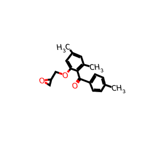 Cc1ccc(C(=O)c2c(C)cc(C)cc2OCC2CO2)cc1